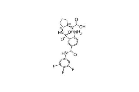 Nc1ccc(C(=O)Nc2cc(F)c(F)c(F)c2)cc1S(=O)(=O)N[C@H]1CCC[C@H]1NC(=O)O